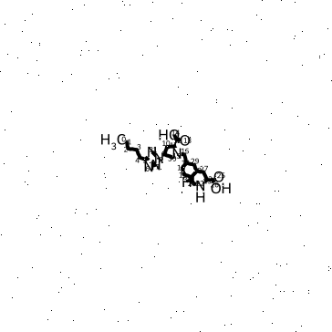 CCCCCc1nnn([C@H]2C[C@@H](C(=O)O)N(CC3CC[C@H]4CNC(C(=O)O)CC4C3)C2)n1